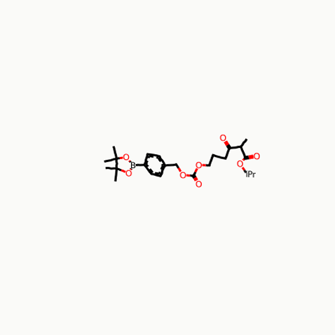 CC(C)OC(=O)C(C)C(=O)CCCOC(=O)OCc1ccc(B2OC(C)(C)C(C)(C)O2)cc1